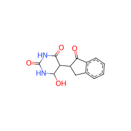 O=C1NC(=O)C(C2Cc3ccccc3C2=O)C(O)N1